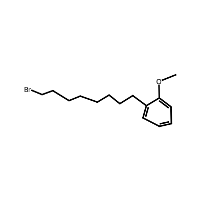 COc1ccccc1CCCCCCCCBr